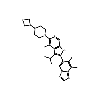 Cc1c(-c2[nH]c3cnc(N4CCN(C5COC5)CC4)c(C)c3c2C(C)C)cn2ncnc2c1C